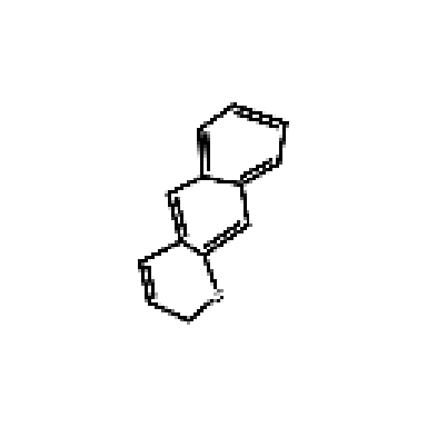 C1=Cc2cc3ccccc3cc2SC1